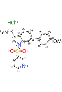 CNCc1cn(S(=O)(=O)c2cccnc2)c2cc(-c3ccc(OC)cc3)ccc12.Cl